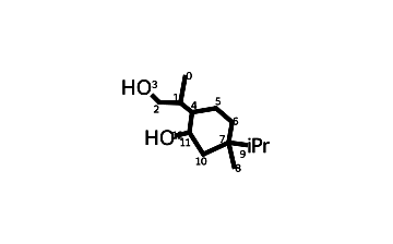 CC(CO)C1CCC(C)(C(C)C)CC1O